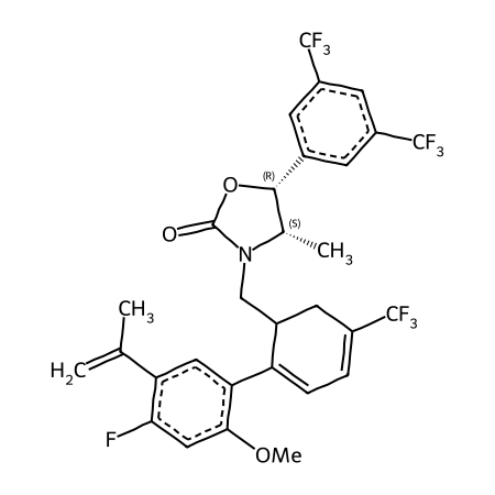 C=C(C)c1cc(C2=CC=C(C(F)(F)F)CC2CN2C(=O)O[C@H](c3cc(C(F)(F)F)cc(C(F)(F)F)c3)[C@@H]2C)c(OC)cc1F